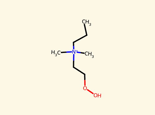 CCC[N+](C)(C)CCOO